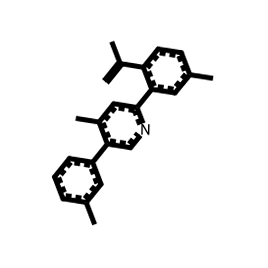 C=C(C)c1ccc(C)cc1-c1cc(C)c(-c2cccc(C)c2)cn1